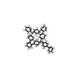 c1ccc(-c2ccc(N(c3ccccc3)c3ccc(-c4ccccc4-c4ccc(N(c5ccccc5)c5ccc(-c6ccccc6)cc5)cc4)cc3)cc2)cc1